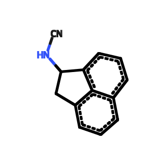 N#CNC1Cc2cccc3cccc1c23